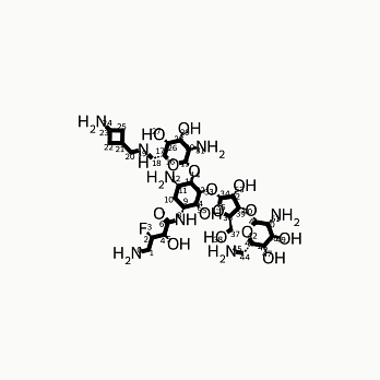 NC[C@@H](F)[C@H](O)C(=O)N[C@@H]1C[C@H](N)[C@@H](O[C@H]2O[C@H](CNCC3CC(N)C3)[C@@H](O)[C@H](O)[C@H]2N)[C@H](O[C@@H]2O[C@H](CO)[C@@H](O[C@H]3O[C@@H](CN)[C@@H](O)[C@H](O)[C@H]3N)[C@H]2O)[C@H]1O